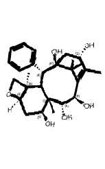 CC1=C2[C@@H](O)[C@H](O)[C@@]3(C)C([C@H](c4ccccc4)[C@](O)(C[C@@H]1O)C2(C)C)[C@]1(C)CO[C@@H]1C[C@@H]3O